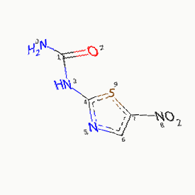 NC(=O)Nc1ncc([N+](=O)[O-])s1